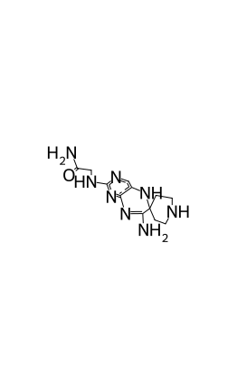 NC(=O)CNc1ncc2c(n1)N=C(N)C1(CCNCC1)N2